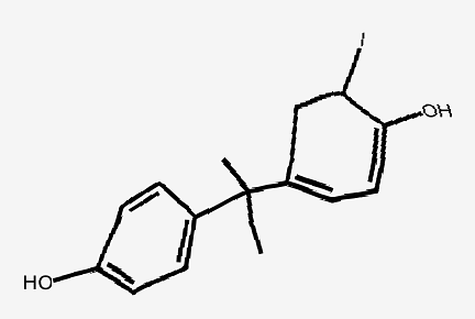 CC(C)(C1=CC=C(O)C(I)C1)c1ccc(O)cc1